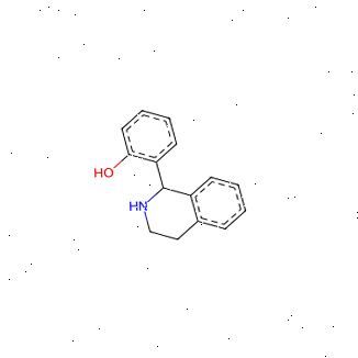 Oc1ccccc1C1NCCc2ccccc21